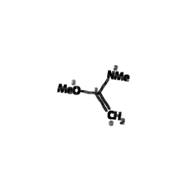 C=C(NC)OC